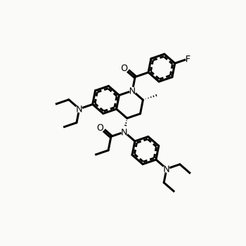 CCC(=O)N(c1ccc(N(CC)CC)cc1)[C@H]1C[C@@H](C)N(C(=O)c2ccc(F)cc2)c2ccc(N(CC)CC)cc21